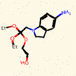 CCOC(CN1CCc2cc(N)ccc21)(OCC)OCCO